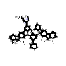 C=C/C=C(\C=C/C)c1cc2c3c(c1)N1c4cccc5c4B(C4=C5CC5C(=C4)C(C)(C)c4ccccc45)c4cc(C5=CC=CCC5)cc(c41)B3c1cc3c(cc1-2)-c1ccccc1C3(C)C